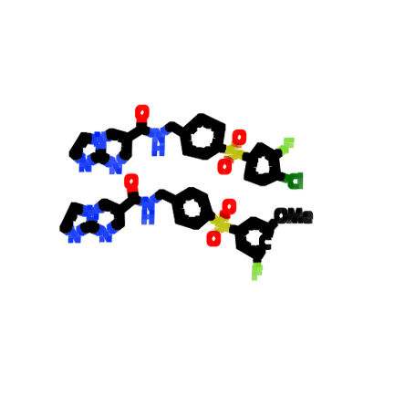 COc1cc(F)cc(S(=O)(=O)c2ccc(CNC(=O)c3cnc4nccn4c3)cc2)c1.O=C(NCc1ccc(S(=O)(=O)c2ccc(Cl)c(F)c2)cc1)c1cnc2nccn2c1